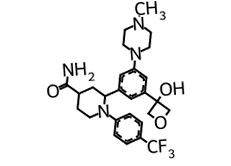 CN1CCN(c2cc(C3CC(C(N)=O)CCN3c3ccc(C(F)(F)F)cc3)cc(C3(O)COC3)c2)CC1